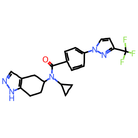 O=C(c1ccc(-n2ccc(C(F)(F)F)n2)cc1)N(C1CC1)C1CCc2[nH]ncc2C1